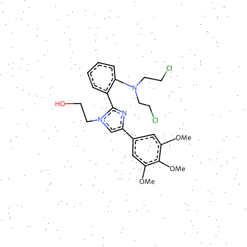 COc1cc(-c2cn(CCO)c(-c3ccccc3N(CCCl)CCCl)n2)cc(OC)c1OC